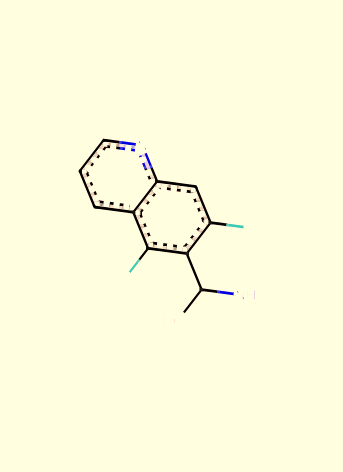 CC(N)c1c(F)cc2ncccc2c1F